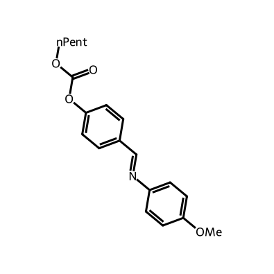 CCCCCOC(=O)Oc1ccc(/C=N/c2ccc(OC)cc2)cc1